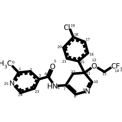 Cc1cc(C(=O)NC2=CN=CC(OCC(F)(F)F)(c3ccc(Cl)cc3)C2)ccn1